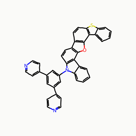 c1ccc2c(c1)sc1ccc3c4ccc5c(c6ccccc6n5-c5cc(-c6ccncc6)cc(-c6ccncc6)c5)c4oc3c12